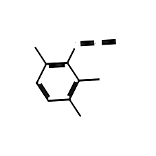 Cc1ccc(C)c(N=C=S)c1C